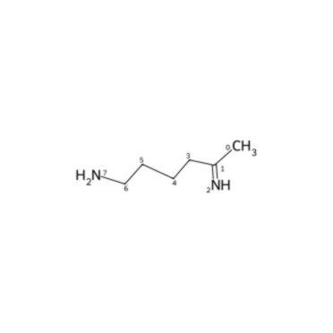 CC(=N)CCCCN